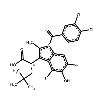 Cc1c([C@H](CC(C)(C)C)C(=O)O)c2c(F)c(O)c(F)cc2n1C(=O)c1ccc(Cl)c(Cl)c1